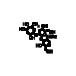 CC(=O)NC1COC(CO)[C@@H](O)C1O[C@@H]1OC(CO)[C@H](O)CC1O[C@@H]1OC(C)[C@@H](O)C(O)CC1O